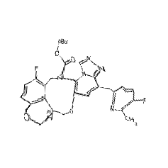 Cc1nc(-c2cc3c(n4cnnc24)N(C(=O)OC(C)(C)C)Cc2c(F)ccc4c2[C@H](CO4)CO3)ccc1F